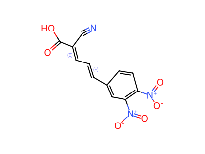 N#C/C(=C\C=C\c1ccc([N+](=O)[O-])c([N+](=O)[O-])c1)C(=O)O